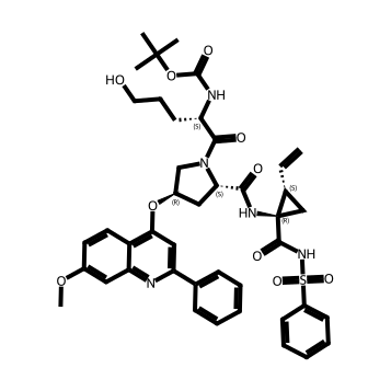 C=C[C@@H]1C[C@]1(NC(=O)[C@@H]1C[C@@H](Oc2cc(-c3ccccc3)nc3cc(OC)ccc23)CN1C(=O)[C@H](CCCO)NC(=O)OC(C)(C)C)C(=O)NS(=O)(=O)c1ccccc1